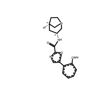 COc1ccccc1-c1cnc(C(=O)N[C@@H]2C[C@H]3CCN(C3)C2)o1